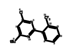 CC(C)(C)c1cc(Cl)nc(-c2ccccc2C(F)(F)F)n1